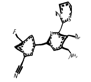 N#Cc1cc(F)cc(-c2cc(N)c(Br)c(-c3nccs3)n2)c1